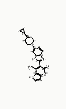 Nc1c(-c2nc3ccc(N4CCC(C5CC5)CC4)cc3[nH]2)c(=O)[nH]c2ccsc12